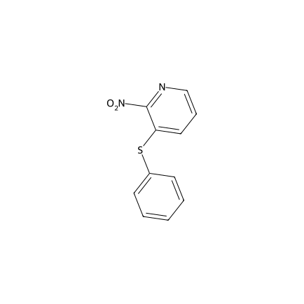 O=[N+]([O-])c1ncccc1Sc1ccccc1